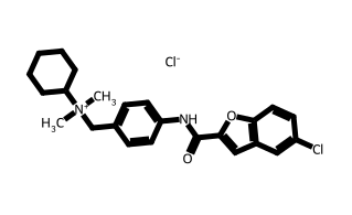 C[N+](C)(Cc1ccc(NC(=O)c2cc3cc(Cl)ccc3o2)cc1)C1CCCCC1.[Cl-]